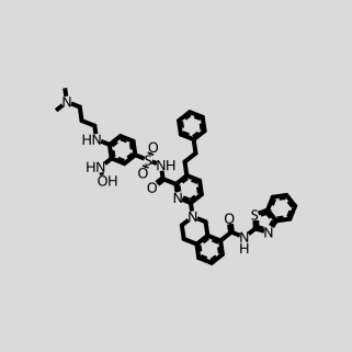 CN(C)CCCNc1ccc(S(=O)(=O)NC(=O)c2nc(N3CCc4cccc(C(=O)Nc5nc6ccccc6s5)c4C3)ccc2CCc2ccccc2)cc1NO